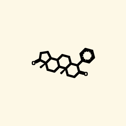 C[C@]12CCC(=O)C(c3ccccc3)C1CCC1C2CC[C@]2(C)C(=O)CCC12